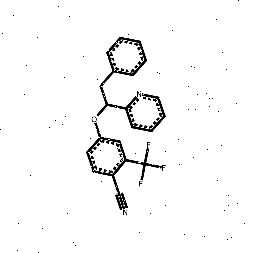 N#Cc1ccc(OC(Cc2ccccc2)c2ccccn2)cc1C(F)(F)F